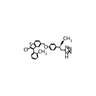 CC#C[C@@H](Cc1nnn[nH]1)c1ccc(OCc2ccc3sc(Cl)c(-c4ccccc4C)c3c2)cc1